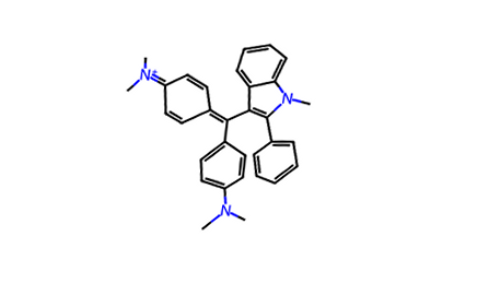 CN(C)c1ccc(C(=C2C=CC(=[N+](C)C)C=C2)c2c(-c3ccccc3)n(C)c3ccccc23)cc1